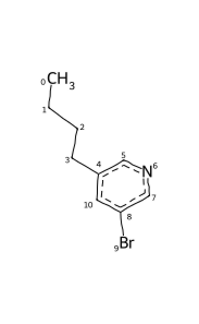 CCCCc1cncc(Br)c1